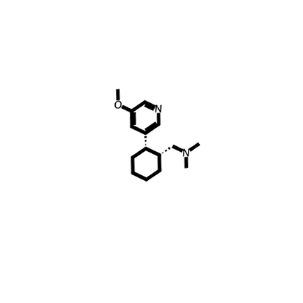 COc1cncc([C@H]2CCCC[C@H]2CN(C)C)c1